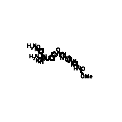 COCCC(=O)NCc1cnc(N2CCN(c3ncc(C(=O)N4CCc5cc(Cn6nc(-c7ccc8oc(N)nc8c7)c7c(N)ncnc76)ccc5C4)cn3)CC2)nc1